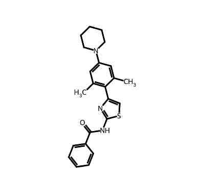 Cc1cc(N2CCCCC2)cc(C)c1-c1csc(NC(=O)c2ccccc2)n1